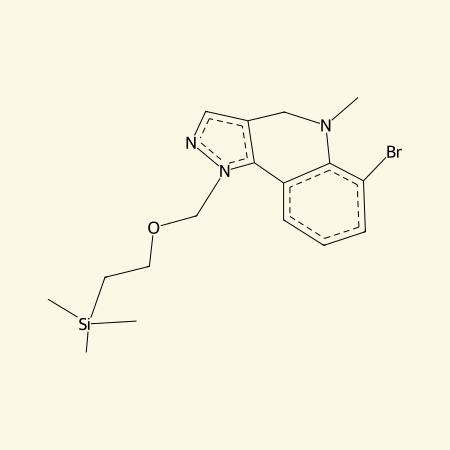 CN1Cc2cnn(COCC[Si](C)(C)C)c2-c2cccc(Br)c21